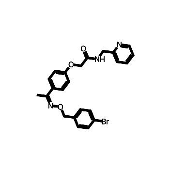 CC(=NOCc1ccc(Br)cc1)c1ccc(OCC(=O)NCc2ccccn2)cc1